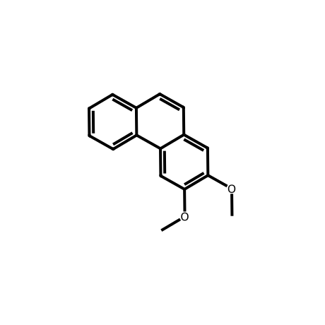 COc1cc2ccc3ccccc3c2cc1OC